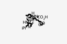 Cc1ccc(NC(=O)C(CC/C=C/S(C)(=O)=O)NC(=O)O)c(=O)n1Cc1nc2c(F)cnc(CC(C)C)c2[nH]1